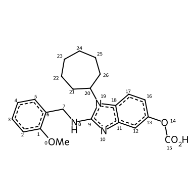 COc1ccccc1CNc1nc2cc(OC(=O)O)ccc2n1C1CCCCCC1